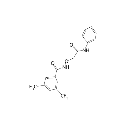 O=C(CONC(=O)c1cc(C(F)(F)F)cc(C(F)(F)F)c1)Nc1ccccc1